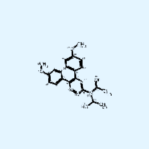 COc1ccc(-c2nnc(N(C(C)O)C(C)O)nc2-c2ccc(OC)cc2)cc1